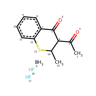 B.CC(=O)C1C(=O)c2ccccc2SC1C.F.F